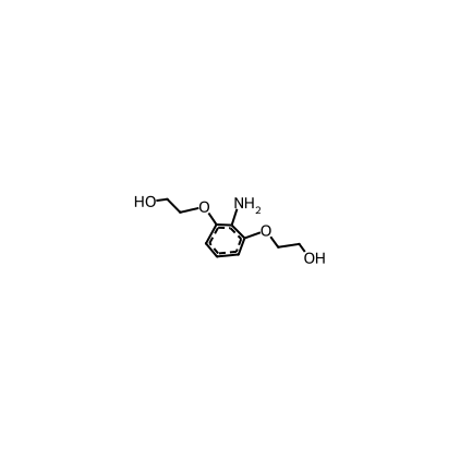 Nc1c(OCCO)cccc1OCCO